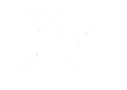 CCCCCCCC.OC(c1ccc2ccccc2c1)(c1ccc2ccccc2c1)C12CC[N+](CCCOc3ccccc3)(CC1)CC2.OC(c1ccc2ccccc2c1)(c1ccc2ccccc2c1)C12CC[N+](CCCOc3ccccc3)(CC1)CC2.[Br-].[Br-]